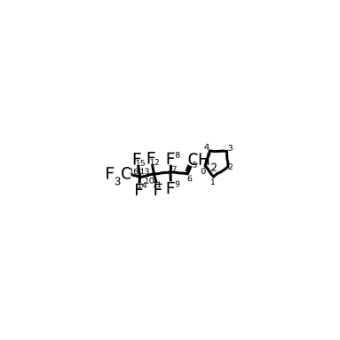 C1CCCC1.C=CC(F)(F)C(F)(F)C(F)(F)C(F)(F)F